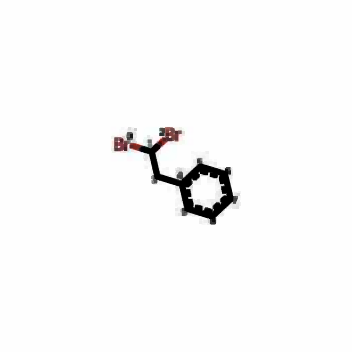 BrC(Br)Cc1[c]cccc1